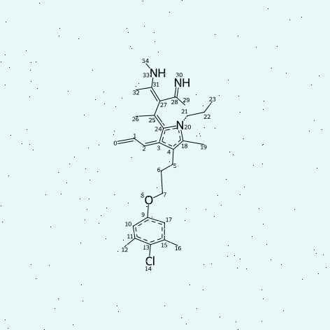 C=C/C=c1/c(CCCOc2cc(C)c(Cl)c(C)c2)c(C)n(CCC)/c1=C(C)\C(C(C)=N)=C(/C)NC